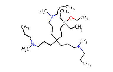 CCCN(C)CCCC(CCCN(C)CCC)(CCCN(C)CCC)CC[Si](CC)(CC)OCC